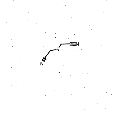 N#CCSCC#N